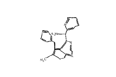 Cc1sc2ncnc(C(N)c3ccccn3)c2c1-c1ccccc1